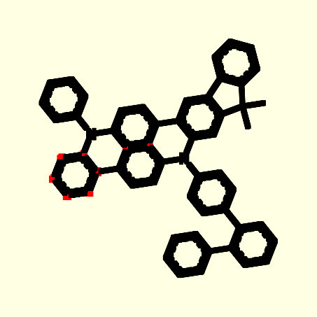 CC1(C)c2ccccc2-c2cc(-c3ccc(N(c4ccccc4)c4ccccc4)cc3)c(N(c3ccc(-c4ccccc4)cc3)c3ccc(-c4ccccc4-c4ccccc4)cc3)cc21